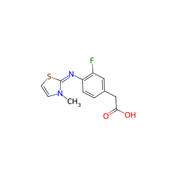 Cn1ccsc1=Nc1ccc(CC(=O)O)cc1F